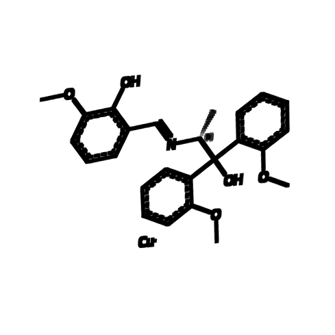 COc1ccccc1C(O)(c1ccccc1OC)[C@@H](C)N=Cc1cccc(OC)c1O.[Cu]